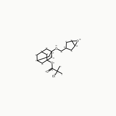 CCC(C)(C)C(=O)OC12CC3CC(CC(OCC4CC5OC5C4)(C3)C1)C2